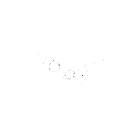 CC1(C2CCN(C#N)CC2)Cc2cc(-c3ccc(S(C)(=O)=O)cc3)ncc2O1